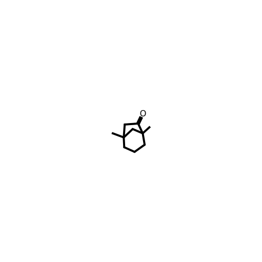 CC12CCCC(C)(C1)C(=O)C2